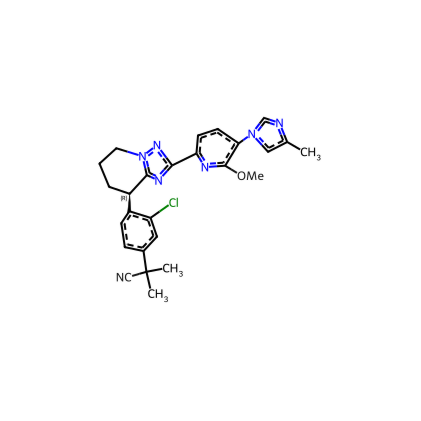 COc1nc(-c2nc3n(n2)CCC[C@@H]3c2ccc(C(C)(C)C#N)cc2Cl)ccc1-n1cnc(C)c1